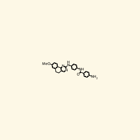 COc1ccc2c(c1)CCc1cnc(Nc3ccc(NC(=O)c4ccc(N)cc4)cc3)nc1-2